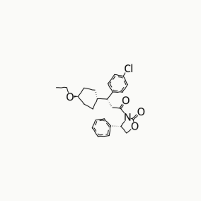 CCO[C@H]1CC[C@H]([C@@H](CC(=O)N2C(=O)OC[C@@H]2c2ccccc2)c2ccc(Cl)cc2)CC1